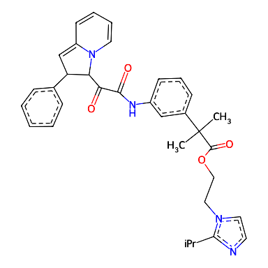 CC(C)c1nccn1CCOC(=O)C(C)(C)c1cccc(NC(=O)C(=O)C2C(c3ccccc3)C=C3C=CC=CN32)c1